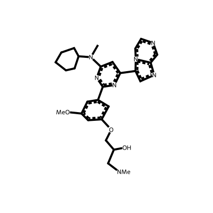 CNCC(O)COc1cc(OC)cc(-c2nc(-c3cnc4cnccn34)cc(N(C)C3CCCCC3)n2)c1